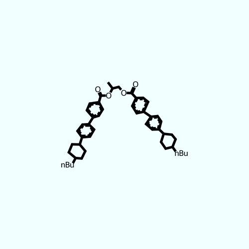 CCCCC1CCC(c2ccc(-c3ccc(C(=O)OCC(C)OC(=O)c4ccc(-c5ccc(C6CCC(CCCC)CC6)cc5)cc4)cc3)cc2)CC1